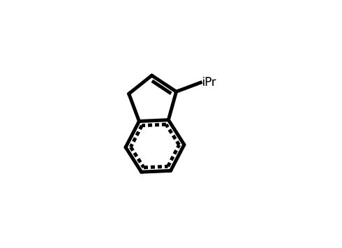 [CH2]C(C)C1=CCc2ccccc21